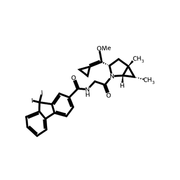 COC(=C1CC1)[C@@H]1C[C@]2(C)[C@H](C)[C@@H]2N1C(=O)CNC(=O)c1ccc2c(c1)C(I)(I)c1ccccc1-2